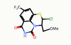 COCC1C(Cl)Sc2cc(C(F)(F)F)cc3c(=O)[nH]c(=O)n1c23